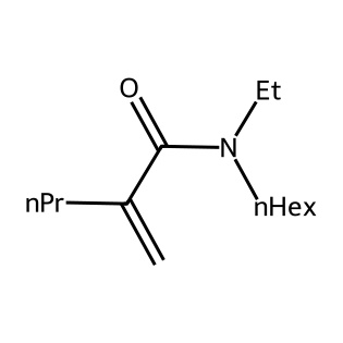 C=C(CCC)C(=O)N(CC)CCCCCC